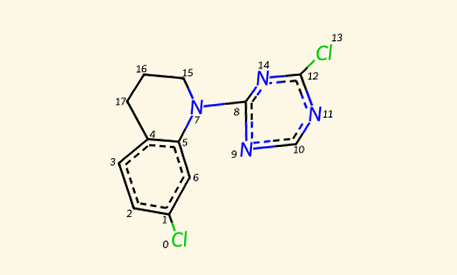 Clc1ccc2c(c1)N(c1ncnc(Cl)n1)CCC2